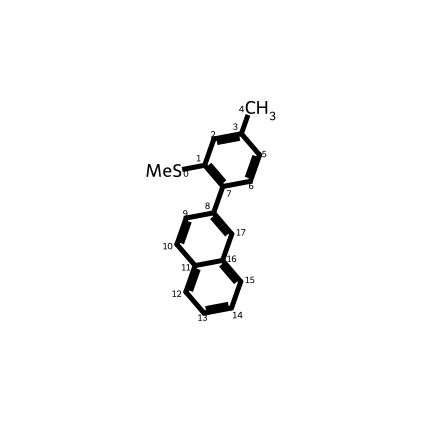 CSc1cc(C)ccc1-c1ccc2ccccc2c1